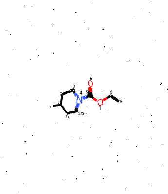 [CH2]C1CCN(C(=O)OCC)CC1